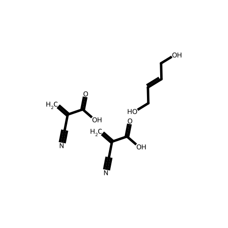 C=C(C#N)C(=O)O.C=C(C#N)C(=O)O.OCC=CCO